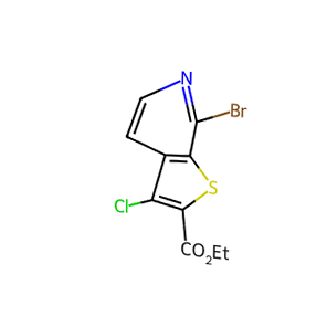 CCOC(=O)c1sc2c(Br)nccc2c1Cl